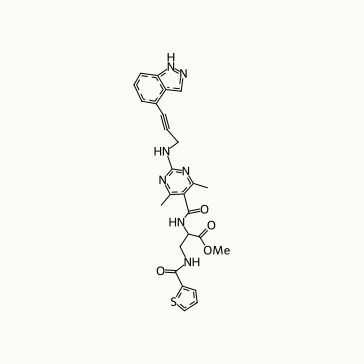 COC(=O)C(CNC(=O)c1cccs1)NC(=O)c1c(C)nc(NCC#Cc2cccc3[nH]ncc23)nc1C